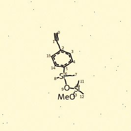 C#Cc1ccc([Si](C)(C)O[Si](C)(C)OC)cc1